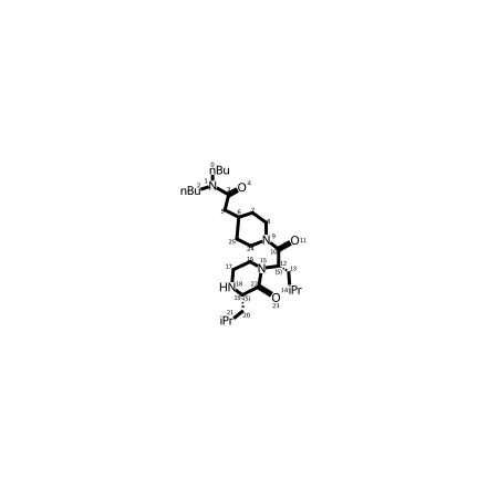 CCCCN(CCCC)C(=O)CC1CCN(C(=O)[C@H](CC(C)C)N2CCN[C@@H](CC(C)C)C2=O)CC1